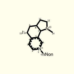 CCCCCCCCC[n+]1ccc2c(c1)C1C(CC2)CCN1C.[I-]